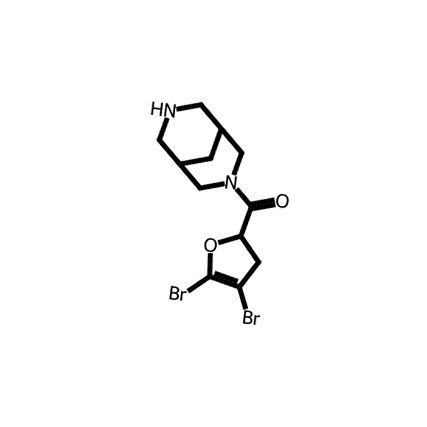 O=C(C1CC(Br)=C(Br)O1)N1CC2CNCC(C2)C1